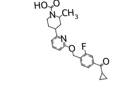 CC1CC(c2cccc(OCc3ccc(C(=O)C4CC4)cc3F)n2)CCN1C(=O)O